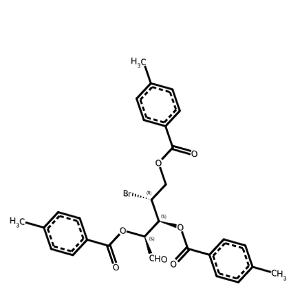 Cc1ccc(C(=O)OC[C@@H](Br)[C@@H](OC(=O)c2ccc(C)cc2)[C@@H](C=O)OC(=O)c2ccc(C)cc2)cc1